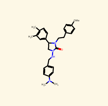 COc1ccc(CCN2C(=O)N(NCc3ccc(N(C)C)cc3)CC2c2ccc(C)c(C)c2)cc1